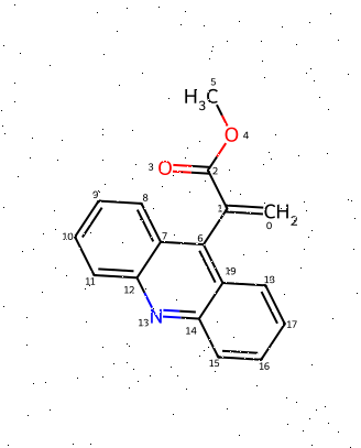 C=C(C(=O)OC)c1c2ccccc2nc2ccccc12